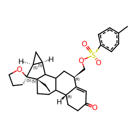 CC[C@]12CCC3C(C[C@@H](COS(=O)(=O)c4ccc(C)cc4)C4=CC(=O)CC[C@@H]43)C1[C@@H]1C[C@@H]1[C@@]21CCCO1